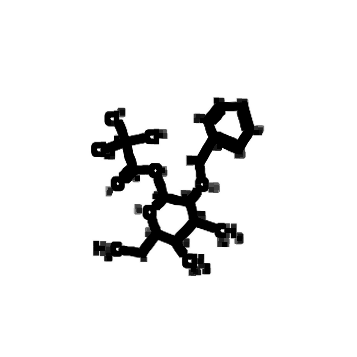 CCC1OC(OC(=O)C(Cl)(Cl)Cl)C(OCc2ccccc2)C(C)C1C